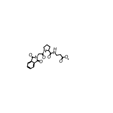 COC(=O)CCNC(=O)C1CCCN1C(=O)CN1C(=O)c2ccccc2C1=O